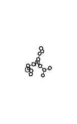 c1ccc(-c2cc(-c3ccccc3)cc(-c3ccc(N(c4ccc(-c5ccc6c(ccc7ccccc76)c5)cc4)c4ccc(-c5cccc6oc7c8ccccc8ccc7c56)cc4)cc3)c2)cc1